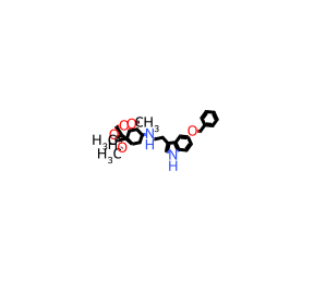 CO[C@@H]1OC2OC3(OC)CC(NCCc4c[nH]c5ccc(OCc6ccccc6)cc45)CC(C2C)C13